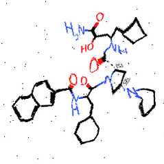 NC(=O)C(O)C(CC1CCC1)NC(=O)[C@@H]1C[C@H](N2CCCCC2)CN1C(=O)C(CC1CCCCC1)NC(=O)c1ccc2ccccc2c1